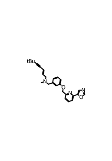 CN(C/C=C/C#CC(C)(C)C)Cc1cccc(OCc2cccc(-c3cnco3)n2)c1